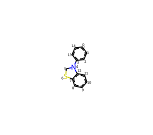 [c]1ccc(N2CSc3ccccc32)cc1